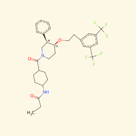 CCC(=O)NC1CCC(C(=O)N2CC[C@H](OCCc3cc(C(F)(F)F)cc(C(F)(F)F)c3)[C@H](c3ccccc3)C2)CC1